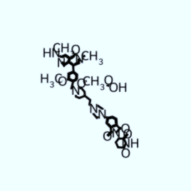 CNc1cc2c(=O)n(C)cc(-c3cc(OC)c(CN4CCC(CCN5CCN(c6ccc7c(c6)C(=O)N(C6CCC(=O)NC6=O)C7=O)CC5)CC4)c(OC)c3)c2cn1.O=CO